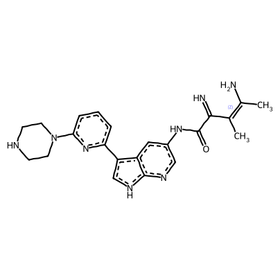 C/C(N)=C(\C)C(=N)C(=O)Nc1cnc2[nH]cc(-c3cccc(N4CCNCC4)n3)c2c1